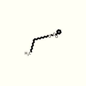 CCCCCCCC/C=C\CCCCCCCCOCCOC(=O)c1ccccc1